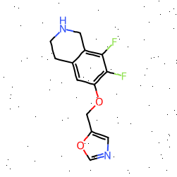 Fc1c(OCc2cnco2)cc2c(c1F)CNCC2